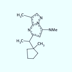 CNc1cc(C(C)C2(C)CCCC2)nc2c(C)cnn12